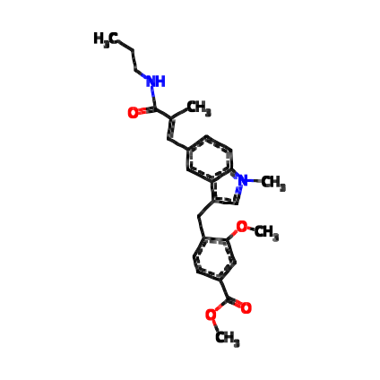 CCCNC(=O)/C(C)=C/c1ccc2c(c1)c(Cc1ccc(C(=O)OC)cc1OC)cn2C